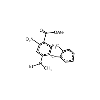 CCN(C)c1cc([N+](=O)[O-])c(C(=O)OC)cc1Oc1ccccc1C(F)(F)F